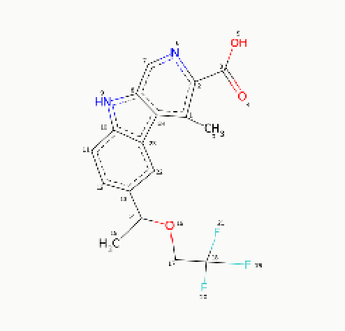 Cc1c(C(=O)O)ncc2[nH]c3ccc(C(C)OCC(F)(F)F)cc3c12